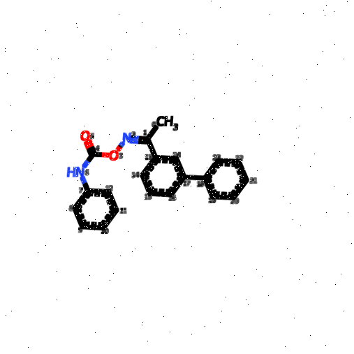 CC(=NOC(=O)Nc1ccccc1)c1cccc(-c2ccccc2)c1